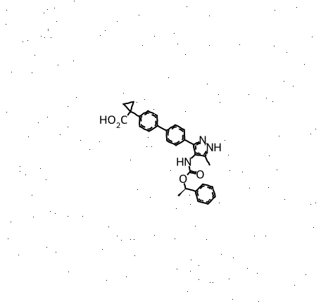 Cc1[nH]nc(-c2ccc(-c3ccc(C4(C(=O)O)CC4)cc3)cc2)c1NC(=O)O[C@H](C)c1ccccc1